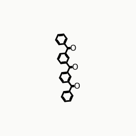 O=C(c1ccccc1)c1cccc(C(=O)c2cccc(C(=O)c3ccccc3)c2)c1